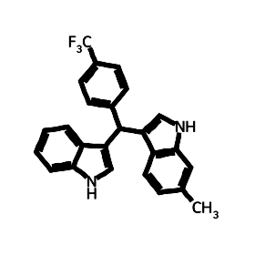 Cc1ccc2c(C(c3ccc(C(F)(F)F)cc3)c3c[nH]c4ccccc34)c[nH]c2c1